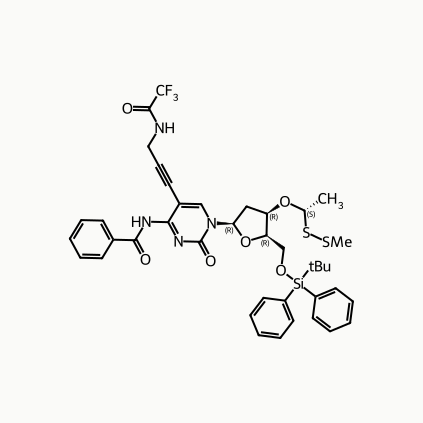 CSS[C@@H](C)O[C@@H]1C[C@H](n2cc(C#CCNC(=O)C(F)(F)F)c(NC(=O)c3ccccc3)nc2=O)O[C@@H]1CO[Si](c1ccccc1)(c1ccccc1)C(C)(C)C